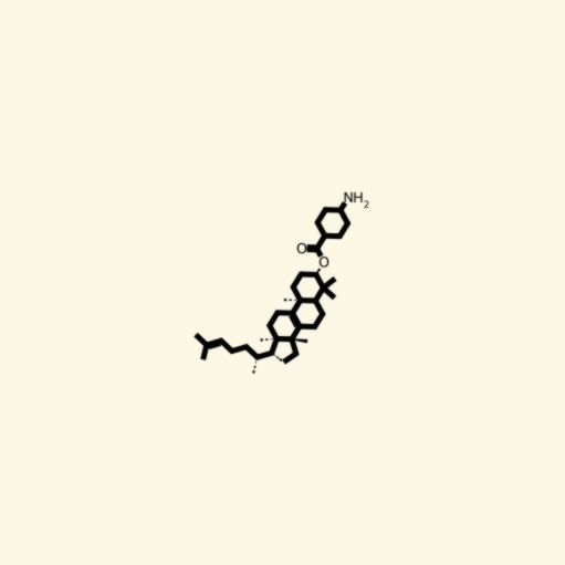 CC(C)=CCC[C@@H](C)[C@H]1CC[C@@]2(C)C3=C(CC[C@]12C)[C@@]1(C)CC[C@H](OC(=O)C2CCC(N)CC2)C(C)(C)C1CC3